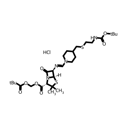 CC(C)(C)OC(=O)NCCSCC1CCN(C=N[C@@H]2C(=O)N3[C@@H]2SC(C)(C)[C@@H]3C(=O)OCOC(=O)C(C)(C)C)CC1.Cl